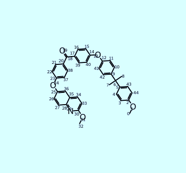 COc1ccc(C(C)(C)c2ccc(Oc3ccc(C(=O)c4ccc(Oc5ccc6nc(OC)ccc6c5)cc4)cc3)cc2)cc1